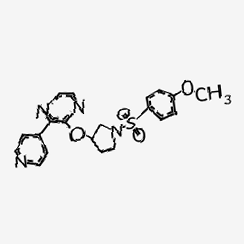 COc1ccc(S(=O)(=O)N2CCC(Oc3nccnc3-c3ccncc3)C2)cc1